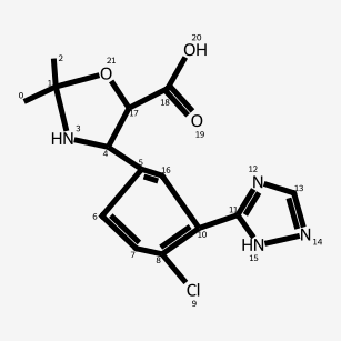 CC1(C)NC(c2ccc(Cl)c(-c3ncn[nH]3)c2)C(C(=O)O)O1